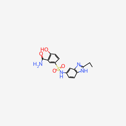 CCc1nc2cc(NS(=O)(=O)c3ccc(O)c(C(N)=O)c3)ccc2[nH]1